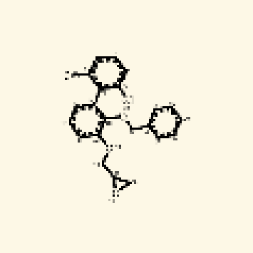 Clc1cccc(Cl)c1-c1cccc(OCC2CO2)c1OCc1ccccc1